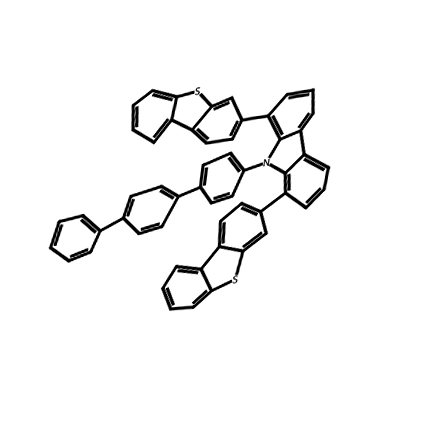 c1ccc(-c2ccc(-c3ccc(-n4c5c(-c6ccc7c(c6)sc6ccccc67)cccc5c5cccc(-c6ccc7c(c6)sc6ccccc67)c54)cc3)cc2)cc1